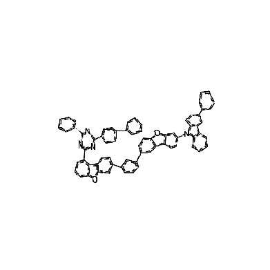 c1ccc(-c2ccc(-c3nc(-c4ccccc4)nc(-c4cccc5oc6cc(-c7cccc(-c8ccc9oc%10cc(-n%11c%12ccccc%12c%12cc(-c%13ccccc%13)ccc%12%11)ccc%10c9c8)c7)ccc6c45)n3)cc2)cc1